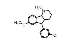 COc1ccc2c(c1)C(c1cccc(Cl)c1)C1CCCN(C)C21